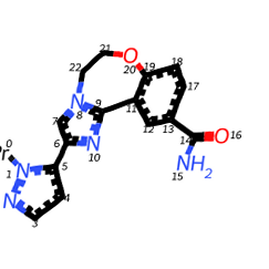 CC(C)n1nccc1-c1cn2c(n1)-c1cc(C(N)=O)ccc1OCC2